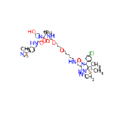 Cc1ncsc1-c1ccc(CNC(=O)[C@@H]2C[C@@H](O)CN2C(=O)C(NC(=O)COCCCOCCCCCNC(=O)CC2N=C(c3ccc(Cl)cc3)c3c(sc(C)c3C)-n3c(C)nnc32)C(C)(C)C)cc1